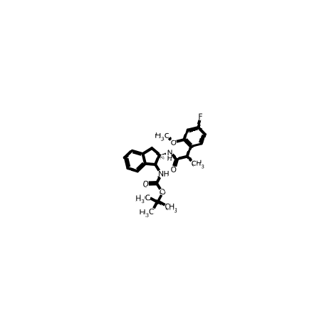 COc1cc(F)ccc1C(C)C(=O)N[C@H]1Cc2ccccc2C1NC(=O)OC(C)(C)C